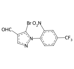 O=Cc1cnn(-c2ccc(C(F)(F)F)cc2[N+](=O)[O-])c1Br